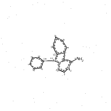 Nc1ncnc2c1c1ccccc1n2-c1ccccc1